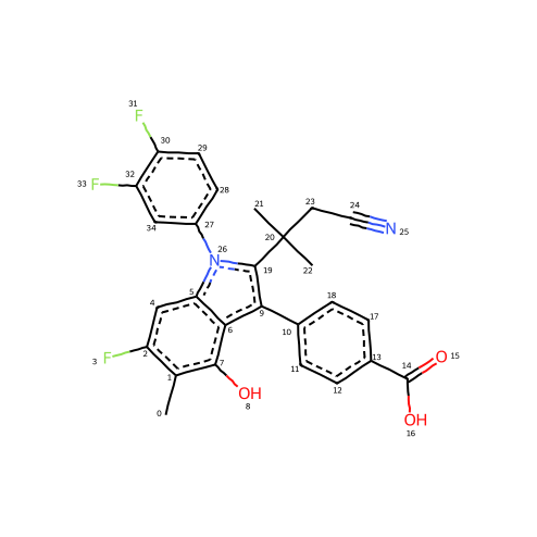 Cc1c(F)cc2c(c1O)c(-c1ccc(C(=O)O)cc1)c(C(C)(C)CC#N)n2-c1ccc(F)c(F)c1